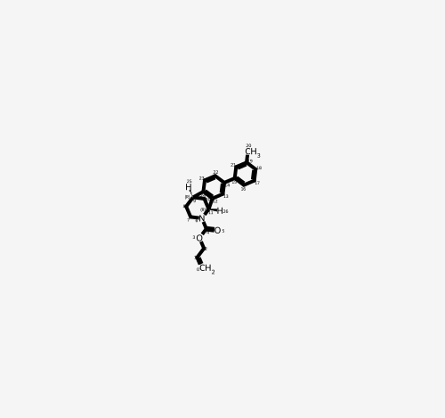 C=CCOC(=O)N1CC[C@@H]2C[C@@H]1c1cc(-c3cccc(C)c3)ccc12